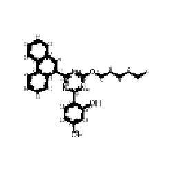 CCCCCCOc1nc(-c2ccc(O)cc2O)nc(-c2cc3ccccc3c3ccccc23)n1